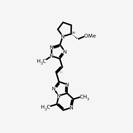 COC[C@H]1CCCN1c1nc(/C=C/c2nc3c(C)ncc(C)n3n2)n(C)n1